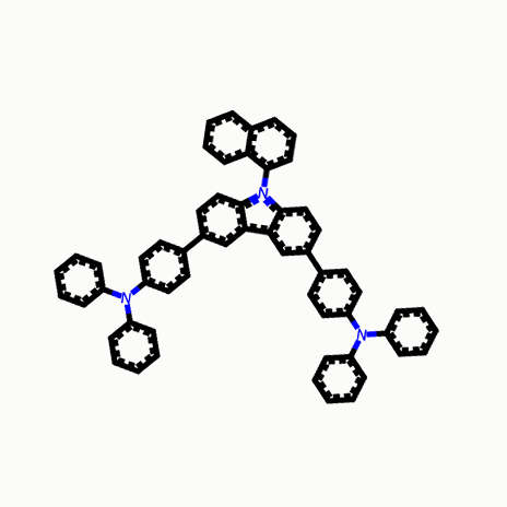 c1ccc(N(c2ccccc2)c2ccc(-c3ccc4c(c3)c3cc(-c5ccc(N(c6ccccc6)c6ccccc6)cc5)ccc3n4-c3cccc4ccccc34)cc2)cc1